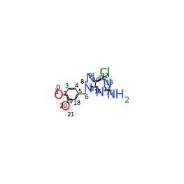 COc1ccc(Cn2cnc3c(Cl)nc(N)nc32)cc1OC